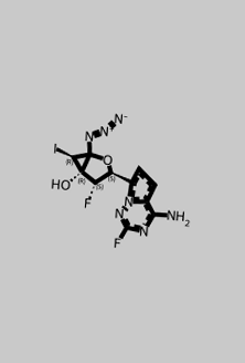 [N-]=[N+]=NC12O[C@@H](c3ccc4c(N)nc(F)nn34)[C@H](F)[C@@]1(O)[C@H]2I